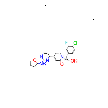 O=c1cc(-c2ccnc(NC3CCCO3)n2)ccn1[C@H](CO)c1ccc(Cl)c(F)c1